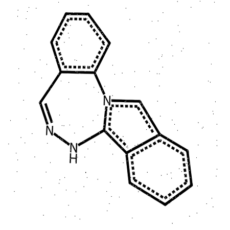 C1=NNc2c3ccccc3cn2-c2ccccc21